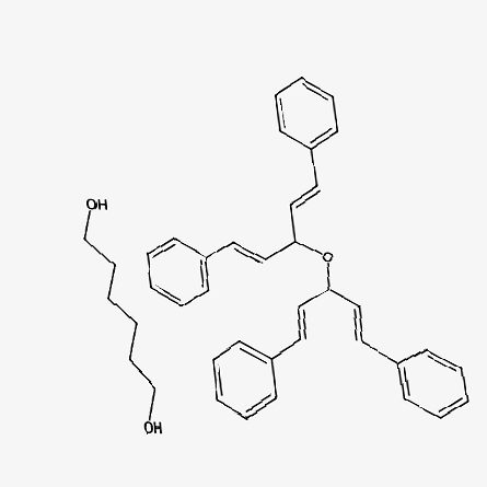 C(=CC(C=Cc1ccccc1)OC(C=Cc1ccccc1)C=Cc1ccccc1)c1ccccc1.OCCCCCCO